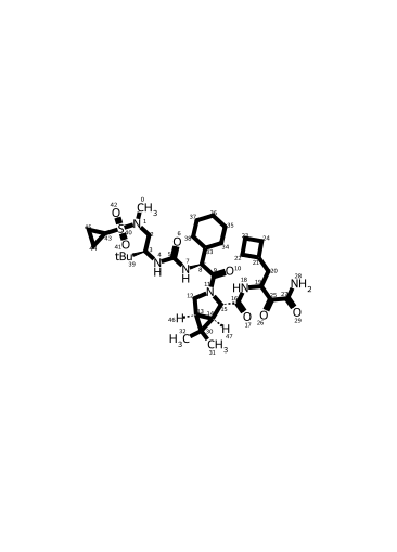 CN(C[C@@H](NC(=O)N[C@H](C(=O)N1C[C@H]2[C@@H]([C@H]1C(=O)NC(CC1CCC1)C(=O)C(N)=O)C2(C)C)C1CCCCC1)C(C)(C)C)S(=O)(=O)C1CC1